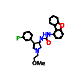 COCCN1C=C(c2cccc(F)c2)/C(=N/C(=O)Nc2cccc3oc4ccccc4c23)C1